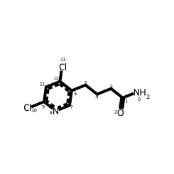 NC(=O)CCCc1cnc(Cl)cc1Cl